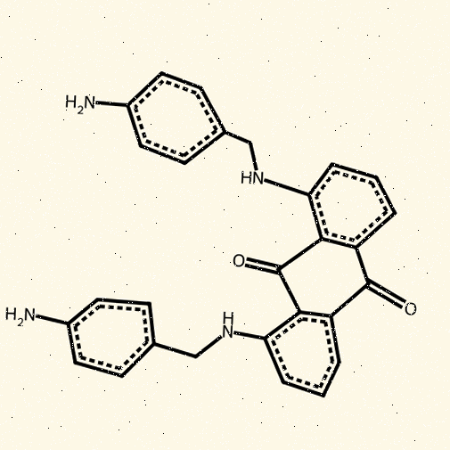 Nc1ccc(CNc2cccc3c2C(=O)c2c(NCc4ccc(N)cc4)cccc2C3=O)cc1